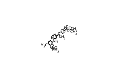 Cc1ccc(Nc2cc(N(C)CC3CCN(C(=O)OC(C)(C)C)CC3)ncn2)c(CS(N)(=O)=O)c1